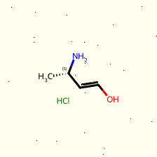 C[C@H](N)C=CO.Cl